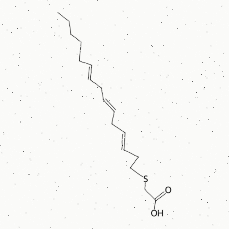 CCCCC/C=C/C/C=C/C/C=C/CCSCC(=O)O